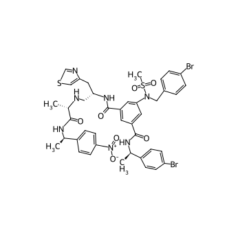 C[C@H](NC[C@H](Cc1cscn1)NC(=O)c1cc(C(=O)N[C@H](C)c2ccc(Br)cc2)cc(N(Cc2ccc(Br)cc2)S(C)(=O)=O)c1)C(=O)N[C@H](C)c1ccc([N+](=O)[O-])cc1